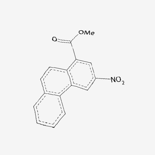 COC(=O)c1cc([N+](=O)[O-])cc2c1ccc1ccccc12